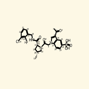 CC(=O)c1cn(CC(=O)N2C[C@H](F)C[C@H]2C(=O)NCc2cccc(Cl)c2F)c2ccc(P(=O)(O)O)cc12